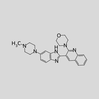 CN1CCN(c2ccc3nc(-c4cc5ccccc5nc4N4CCOCC4)[nH]c3c2)CC1